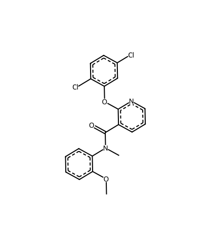 COc1ccccc1N(C)C(=O)c1cccnc1Oc1cc(Cl)ccc1Cl